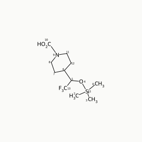 C[Si](C)(C)OC(C1CCN(C(=O)O)CC1)C(F)(F)F